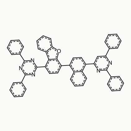 c1ccc(-c2cc(-c3ccc(-c4ccc(-c5nc(-c6ccccc6)nc(-c6ccccc6)n5)c5c4oc4ccccc45)c4ccccc34)nc(-c3ccccc3)n2)cc1